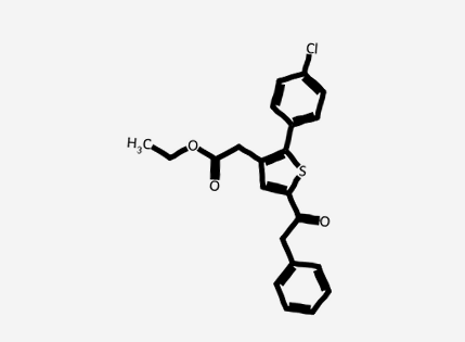 CCOC(=O)Cc1cc(C(=O)Cc2ccccc2)sc1-c1ccc(Cl)cc1